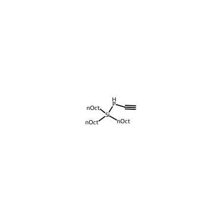 C#CP[Si](CCCCCCCC)(CCCCCCCC)CCCCCCCC